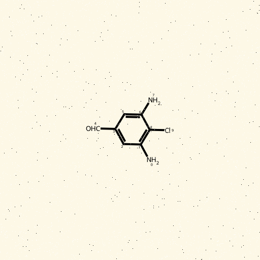 Nc1cc(C=O)cc(N)c1Cl